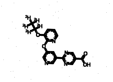 [2H]C([2H])([2H])C([2H])([2H])Oc1cccnc1Oc1cncc(-c2ncc(C(=O)O)cn2)c1